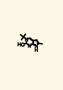 Cc1cc2c([nH]1)=NC(O)N(C(C)(C)C)C=2